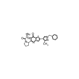 Cc1nn(Cc2ccccc2)cc1-c1cc2nc(C3CCCN3C(=O)OC(C)(C)C)[nH]c(=O)c2s1